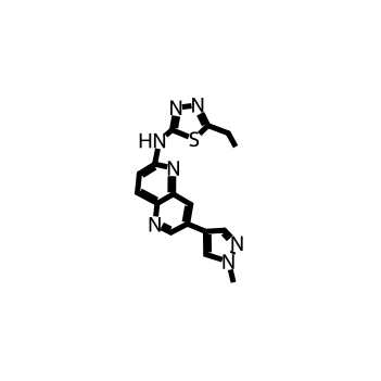 CCc1nnc(Nc2ccc3ncc(-c4cnn(C)c4)cc3n2)s1